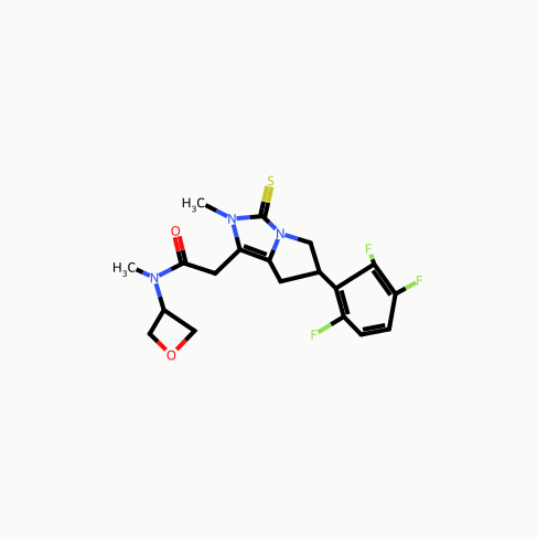 CN(C(=O)Cc1c2n(c(=S)n1C)CC(c1c(F)ccc(F)c1F)C2)C1COC1